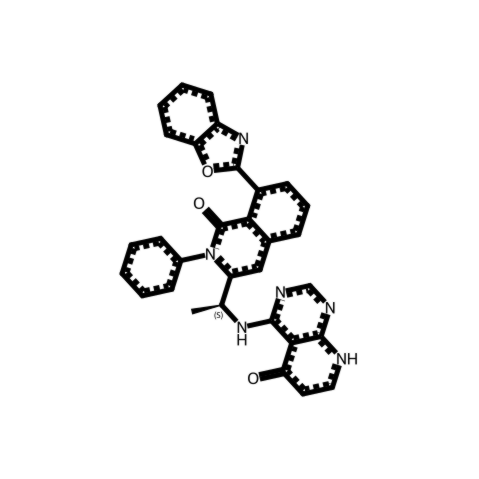 C[C@H](Nc1ncnc2[nH]ccc(=O)c12)c1cc2cccc(-c3nc4ccccc4o3)c2c(=O)n1-c1ccccc1